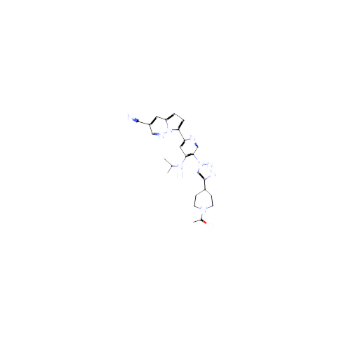 CC(=O)N1CCC(c2cn(-c3cnc(-c4ccc5cc(C#N)cnn45)cc3NC(C)C)nn2)CC1